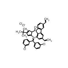 C=Cc1ccc2c(c1)-c1cc(C=C)c[c]([Zr+2]([C]3=CC(C(C)(C)C)=CC3CC)=[C](c3cccc(Cl)c3)c3cccc(Cl)c3)c1C2.[Cl-].[Cl-]